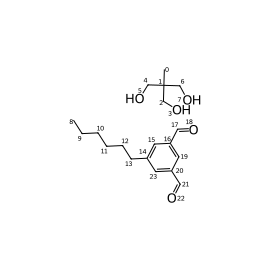 CC(CO)(CO)CO.CCCCCCc1cc(C=O)cc(C=O)c1